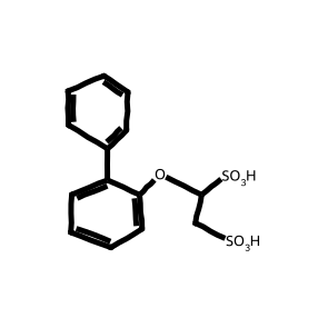 O=S(=O)(O)CC(Oc1ccccc1-c1ccccc1)S(=O)(=O)O